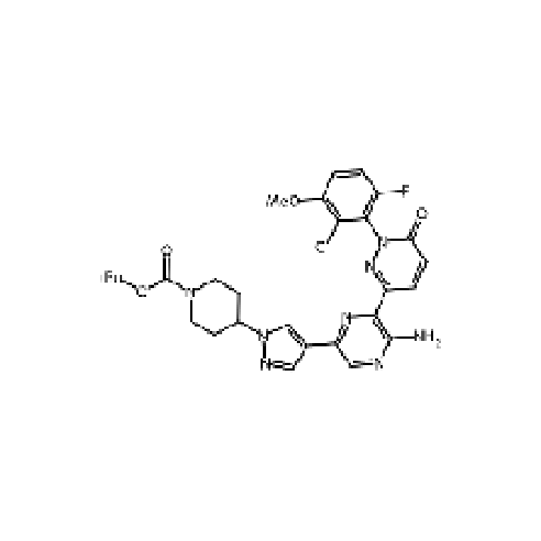 COc1ccc(F)c(-n2nc(-c3nc(-c4cnn(C5CCN(C(=O)OC(C)(C)C)CC5)c4)cnc3N)ccc2=O)c1Cl